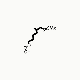 CSSCC(C)CCCCOOO